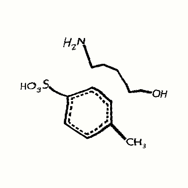 Cc1ccc(S(=O)(=O)O)cc1.NCCCO